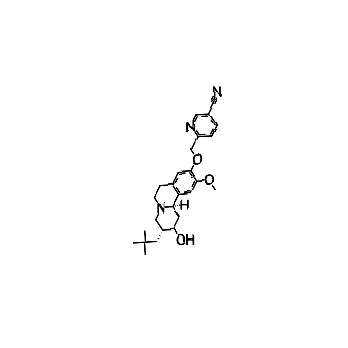 COc1cc2c(cc1OCc1ccc(C#N)cn1)CCN1C[C@@H](CC(C)(C)C)[C@H](O)C[C@H]21